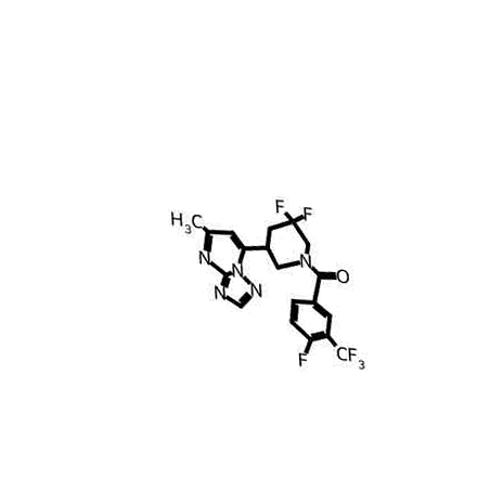 Cc1cc(C2CN(C(=O)c3ccc(F)c(C(F)(F)F)c3)CC(F)(F)C2)n2ncnc2n1